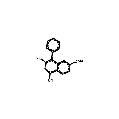 COc1ccc2c(C#N)nc(C#N)c(-c3ccccc3)c2c1